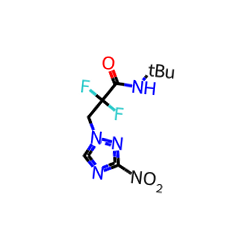 CC(C)(C)NC(=O)C(F)(F)Cn1cnc([N+](=O)[O-])n1